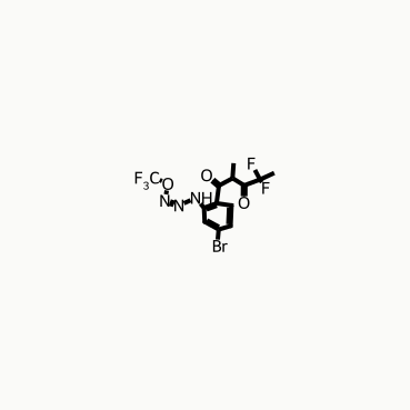 CC(C(=O)c1ccc(Br)cc1N/N=N\OC(F)(F)F)C(=O)C(C)(F)F